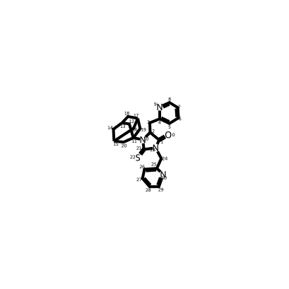 O=C1C(Cc2ccccn2)N(C23CC4CC(CC(C4)C2)C3)C(=S)N1Cc1ccccn1